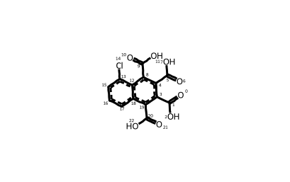 O=C(O)c1c(C(=O)O)c(C(=O)O)c2c(Cl)cccc2c1C(=O)O